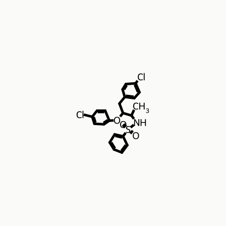 CC(NS(=O)(=O)c1ccccc1)C(Cc1ccc(Cl)cc1)Oc1ccc(Cl)cc1